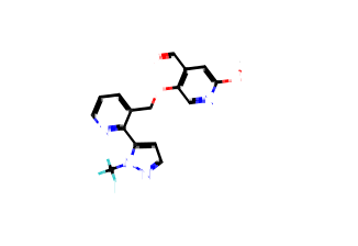 COc1cc(C=O)c(OCc2cccnc2-c2ccnn2C(F)(F)F)cn1